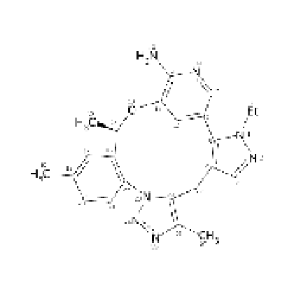 CCn1ncc2c1-c1cnc(N)c(c1)O[C@H](C)c1cc(C)ccc1-n1nnc(C)c1C2